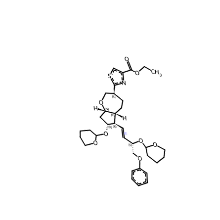 CCOC(=O)c1csc([C@H]2CC[C@@H]3[C@@H](/C=C/[C@@H](COc4ccccc4)OC4CCCCO4)[C@H](OC4CCCCO4)C[C@@H]3OC2)n1